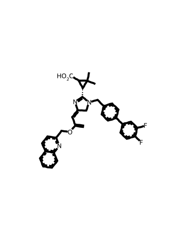 C=C(/C=C1\CN(Cc2ccc(-c3ccc(F)c(F)c3)cc2)C([C@@H]2C(C(=O)O)C2(C)C)=N1)OCc1ccc2ccccc2n1